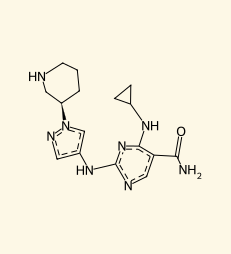 NC(=O)c1cnc(Nc2cnn([C@@H]3CCCNC3)c2)nc1NC1CC1